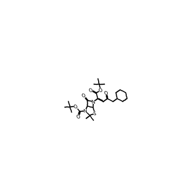 CC(C)(C)OC(=O)C(=CC(=O)CC1CCCCC1)N1C(=O)C2C1SC(C)(C)N2C(=O)OC(C)(C)C